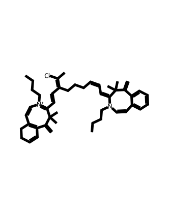 C=C1C2=C(\C=C/[N+](CCCC)=C(/C=C/C(CCC/C=C\C=C3\N(CCCC)/C=C\c4ccccc4C(=C)C3(C)C)=C(/C)Cl)C1(C)C)CCC=C2